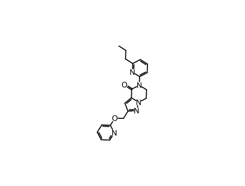 CCCc1cccc(N2CCn3nc(COc4ccccn4)cc3C2=O)n1